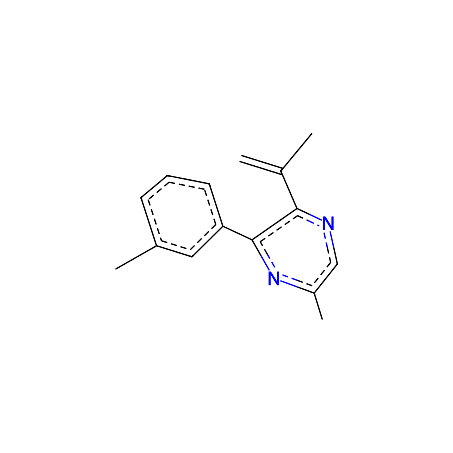 C=C(C)c1ncc(C)nc1-c1cccc(C)c1